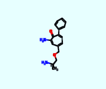 C[C@@H](N)COCc1ccc(-c2ccccc2)c(=O)c(N)c1